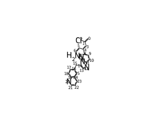 C=C(Cl)/C=C(\C=C/N)c1ccc2ncc(Cc3ccc4ncccc4c3)n2n1